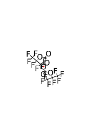 O=C(OOC(=O)OC(F)(C(F)(F)F)C(F)(F)F)OC(F)(C(F)(F)F)C(F)(F)F